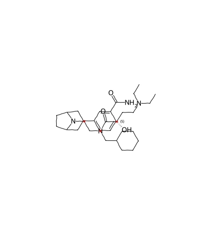 CCN(CC)CC[C@H](O)C(=O)N(CCN1C2CCC1CC(c1cccc(C(N)=O)c1)C2)CC1CCCCC1